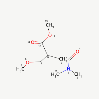 CN(C)C=O.COCC(C)C(=O)OC